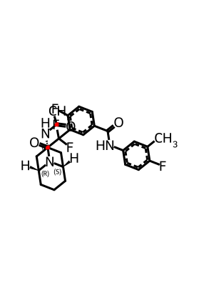 CC(=O)N[C@H]1C[C@H]2CCC[C@@H](C1)N2C(=O)C(F)(F)c1cc(C(=O)Nc2ccc(F)c(C)c2)ccc1F